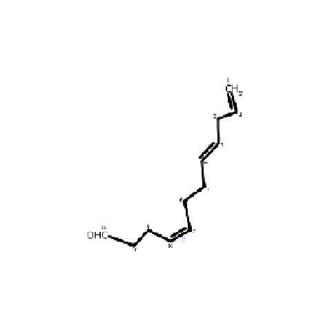 C=CCC=CCC/C=C\CCC=O